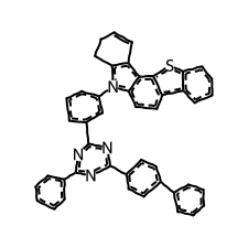 C1=Cc2c(n(-c3cccc(-c4nc(-c5ccccc5)nc(-c5ccc(-c6ccccc6)cc5)n4)c3)c3ccc4c5ccccc5sc4c23)CC1